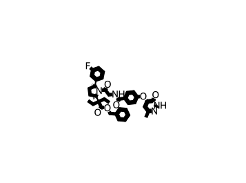 CCC(CC)(C(=O)OCc1ccccc1)[C@H]1CC[C@@H](c2cccc(F)c2)N1C(=O)CNC(=O)c1ccc(Oc2cc(C)n[nH]c2=O)cc1